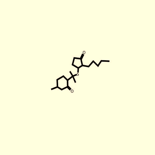 CCCCCC1C(=O)CCC1SC(C)(C)C1CCC(C)CC1=O